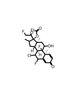 CCC(=O)O[C@]1(C(=O)CF)C(C)C[C@H]2[C@@H]3C(Cl)C(F)C4=CC(=O)C=C[C@]4(C)[C@@]3(F)C(O)C[C@@]21C